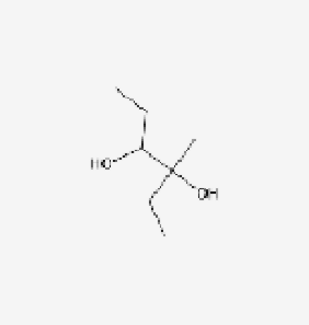 CCC(O)C(C)(O)CC